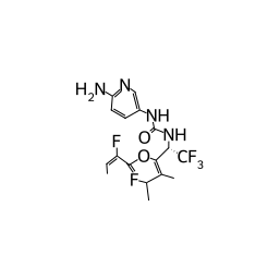 C=C(O/C(=C(/C)C(C)F)[C@H](NC(=O)Nc1ccc(N)nc1)C(F)(F)F)/C(F)=C\C